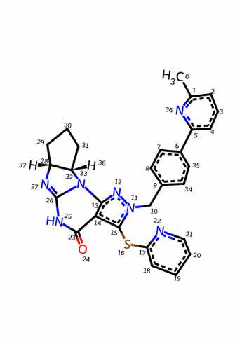 Cc1cccc(-c2ccc(Cn3nc4c(c3Sc3ccccn3)C(=O)NC3=N[C@@H]5CCC[C@@H]5N34)cc2)n1